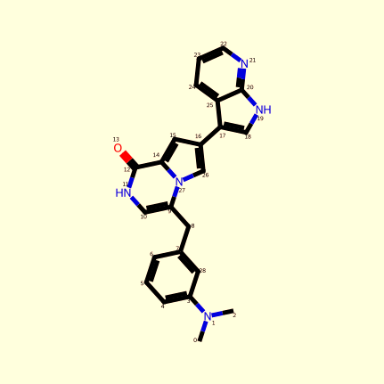 CN(C)c1cccc(Cc2c[nH]c(=O)c3cc(-c4c[nH]c5ncccc45)cn23)c1